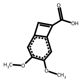 COc1cc2c(cc1OC)C(C(=O)O)=C2